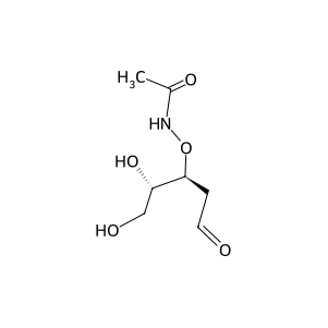 CC(=O)NO[C@@H](CC=O)[C@@H](O)CO